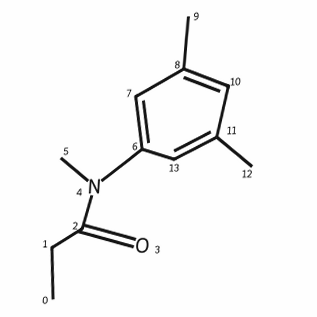 CCC(=O)N(C)c1cc(C)cc(C)c1